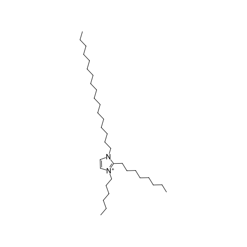 CCCCCCCCCCCCCCCCCn1cc[n+](CCCCCC)c1CCCCCCCC